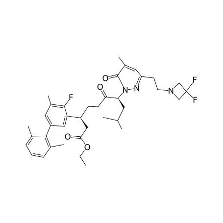 CCOC(=O)C[C@H](CCC(=O)[C@H](CC(C)C)n1nc(CCN2CC(F)(F)C2)cc(C)c1=O)c1cc(-c2c(C)cccc2C)cc(C)c1F